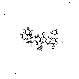 CC(C1CCCC1)C1CN(C(=O)c2ccc(NS(=O)(=O)c3cccc4cccnc34)c(OC(F)(F)F)c2)CCN1C(=O)O